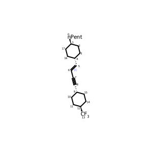 CCCCC[C@H]1CC[C@H](/C=C/C#C[C@H]2CC[C@H](C(F)(F)F)CC2)CC1